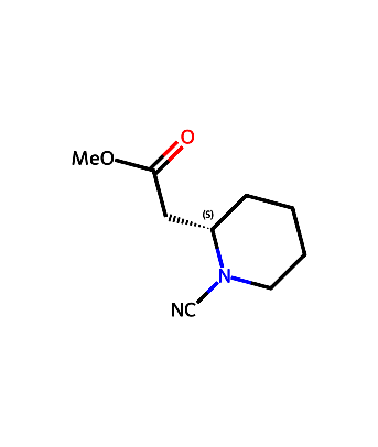 COC(=O)C[C@@H]1CCCCN1C#N